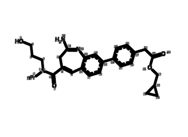 CCCN(CCCO)C(=O)C1=Cc2ccc(-c3ccc(CC(=O)OCC4CC4)cc3)cc2N=C(N)C1